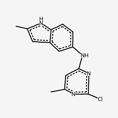 Cc1cc(Nc2ccc3[nH]c(C)cc3c2)nc(Cl)n1